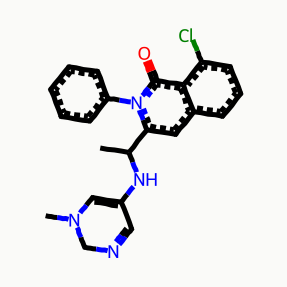 CC(NC1=CN(C)CN=C1)c1cc2cccc(Cl)c2c(=O)n1-c1ccccc1